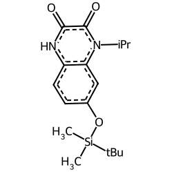 CC(C)n1c(=O)c(=O)[nH]c2ccc(O[Si](C)(C)C(C)(C)C)cc21